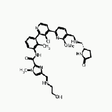 COc1nc(-c2ccnc(-c3cccc(NC(=O)c4nc(CNCCO)cn4C)c3C)c2Cl)ccc1CNC[C@@H]1CCC(=O)N1